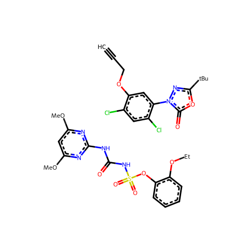 C#CCOc1cc(-n2nc(C(C)(C)C)oc2=O)c(Cl)cc1Cl.CCOc1ccccc1OS(=O)(=O)NC(=O)Nc1nc(OC)cc(OC)n1